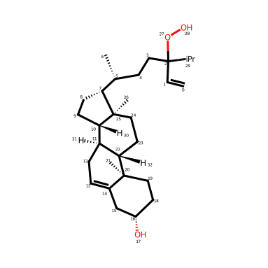 C=CC(CC[C@@H](C)[C@H]1CC[C@H]2[C@@H]3CC=C4C[C@@H](O)CC[C@]4(C)[C@H]3CC[C@]12C)(OO)C(C)C